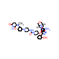 CN(c1cccc(N2CCC(NC(=O)N3CCC(Oc4cccc(N5[C@H]6COC[C@H]5CN(c5cc(-c7ccccc7O)nnc5N)C6)c4)CC3)CC2)c1)C1CCC(=O)NC1=O